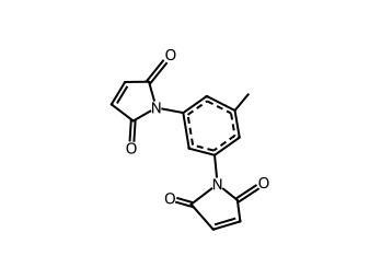 Cc1cc(N2C(=O)C=CC2=O)cc(N2C(=O)C=CC2=O)c1